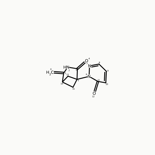 C=C1NC(=O)C2(n3ncccc3=O)CC1C2